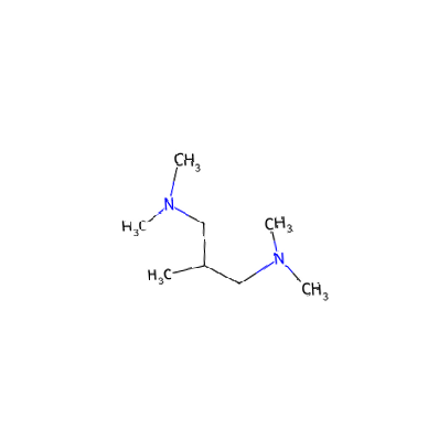 CC(CN(C)C)CN(C)C